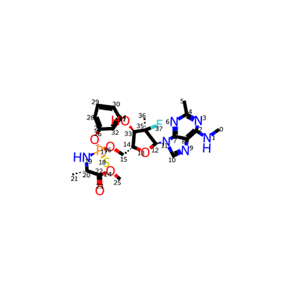 CNc1nc(C)nc2c1ncn2[C@@H]1O[C@H](CO[P@@](=S)(N[C@@H](C)C(=O)OC)Oc2ccccc2)[C@@H](O)[C@@]1(C)F